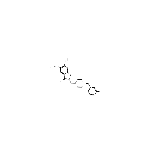 CCOc1cc2c(cc1OCC)C(=O)C(CC1CCN(Cc3cccc(Cl)c3)CC1)C2